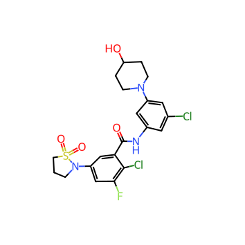 O=C(Nc1cc(Cl)cc(N2CCC(O)CC2)c1)c1cc(N2CCCS2(=O)=O)cc(F)c1Cl